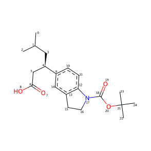 CC(C)C[C@H](CC(=O)O)c1ccc2c(c1)CCN2C(=O)OC(C)(C)C